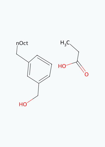 CCC(=O)O.CCCCCCCCCc1cccc(CO)c1